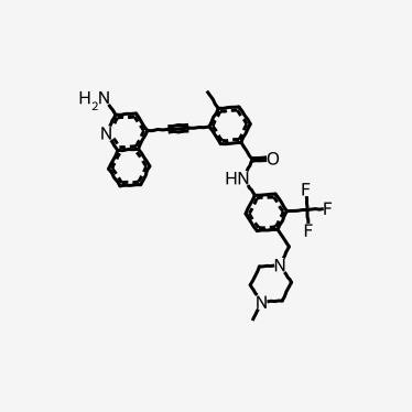 Cc1ccc(C(=O)Nc2ccc(CN3CCN(C)CC3)c(C(F)(F)F)c2)cc1C#Cc1cc(N)nc2ccccc12